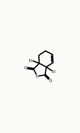 CCC12C=CCCC1(CC)C(=O)OC2=O